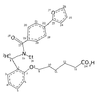 [2H]C(c1ccccc1OCCCCCC(=O)O)N(CC)C(=O)c1ccc(-c2ccco2)cc1